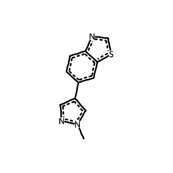 Cn1cc(-c2ccc3ncsc3c2)cn1